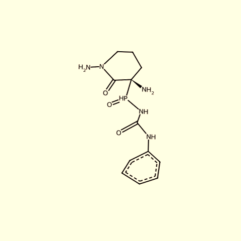 NN1CCC[C@](N)([PH](=O)NC(=O)Nc2ccccc2)C1=O